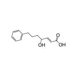 O=C(O)C=CC(O)CCCc1ccccc1